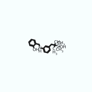 CC(C)(Cc1cccc(NCc2ccccc2O)c1)[Si](C)(C)O